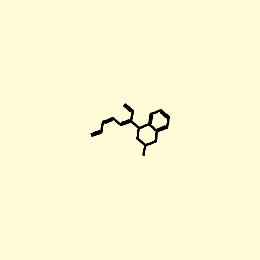 C=C/C=C\C=C(/C=C)C1CC(C)Cc2ccccc21